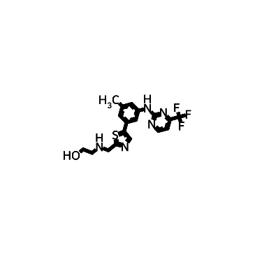 Cc1cc(Nc2nccc(C(F)(F)F)n2)cc(-c2cnc(CNCCO)s2)c1